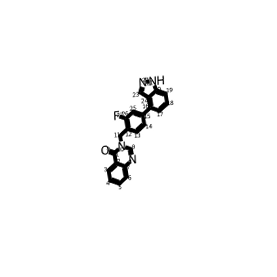 O=c1c2ccccc2ncn1Cc1ccc(-c2cccc3[nH]ncc23)cc1F